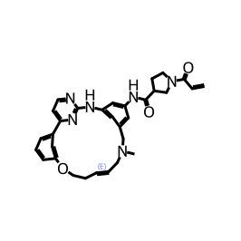 C=CC(=O)N1CCC(C(=O)Nc2cc3cc(c2)Nc2nccc(n2)-c2cccc(c2)OCC/C=C/CN(C)C3)C1